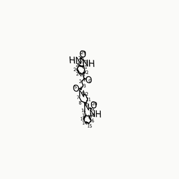 O=C(CCC(=O)N1CCC(N2Cc3ccccc3NC2=O)CC1)c1ccc2[nH]c(=O)[nH]c2c1